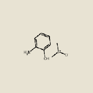 C[S+](C)[O-].Nc1ccccc1O